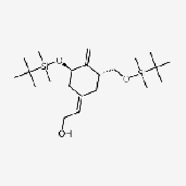 C=C1[C@H](CO[Si](C)(C)C(C)(C)C)CC(=CCO)C[C@H]1O[Si](C)(C)C(C)(C)C